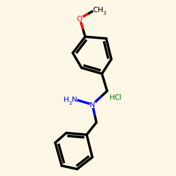 COc1ccc(CN(N)Cc2ccccc2)cc1.Cl